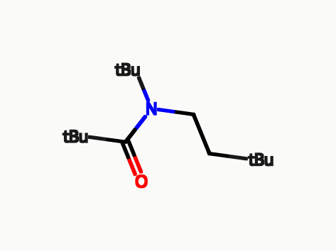 CC(C)(C)CCN(C(=O)C(C)(C)C)C(C)(C)C